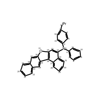 CC(C)c1ccc(N(c2ccccc2)c2cc3oc4cc5ccccc5cc4c3c3ccccc23)cc1